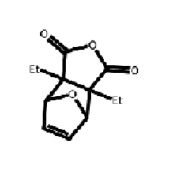 CCC12C(=O)OC(=O)C1(CC)C1C=CC2O1